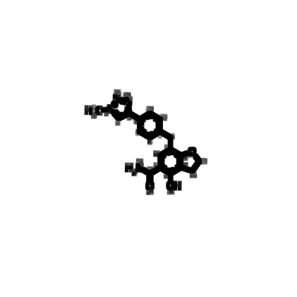 Cn1cc(-c2ccc(Cc3cc(C(N)=O)c(O)c4c3OCC4)cc2)nn1